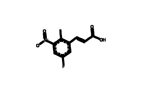 Cc1c(/C=C/C(=O)O)cc(F)cc1[N+](=O)[O-]